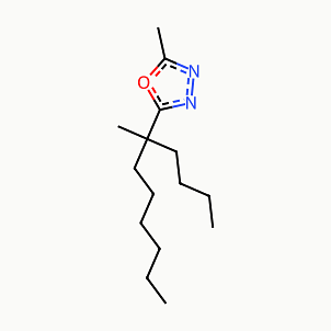 CCCCCCC(C)(CCCC)c1nnc(C)o1